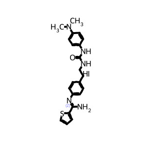 CN(C)c1ccc(NC(=O)NCCc2ccc(/N=C(\N)c3cccs3)cc2)cc1.I